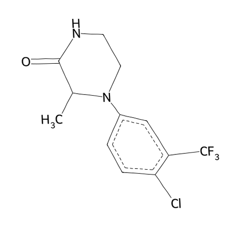 CC1C(=O)NCCN1c1ccc(Cl)c(C(F)(F)F)c1